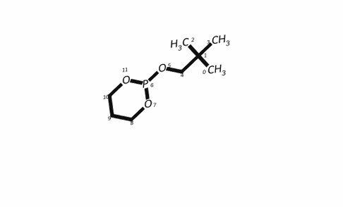 CC(C)(C)COP1OCCCO1